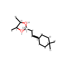 CC1O[13CH](CC=C2CCC(C)(C)CC2)OC1C